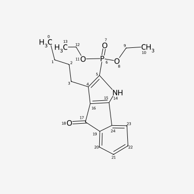 CCCCc1c(P(=O)(OCC)OCC)[nH]c2c1C(=O)c1ccccc1-2